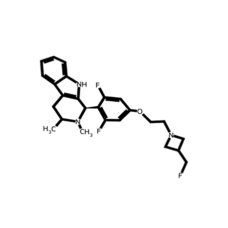 CC1Cc2c([nH]c3ccccc23)[C@@H](c2c(F)cc(OCCN3CC(CF)C3)cc2F)N1C